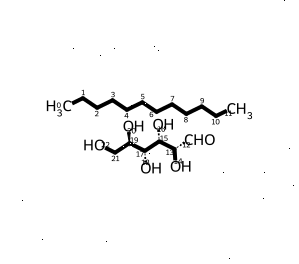 CCCCCCCCCCCC.O=C[C@H](O)[C@@H](O)[C@H](O)[C@H](O)CO